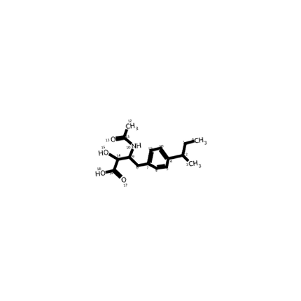 CCC(C)c1ccc(CC(NC(C)=O)C(O)C(=O)O)cc1